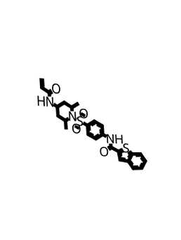 C=CC(=O)NC1CC(C)N(S(=O)(=O)c2ccc(NC(=O)c3cc4ccccc4s3)cc2)C(C)C1